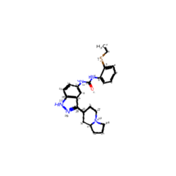 CCSc1ccccc1NC(=O)Nc1ccc2[nH]nc(C3CCN4CCCC4C3)c2c1